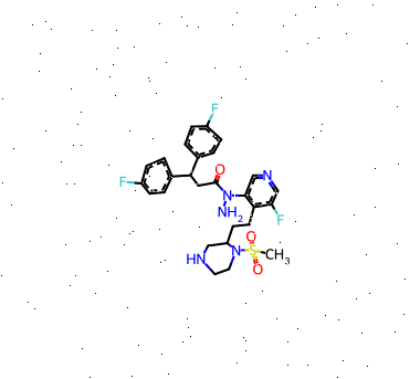 CS(=O)(=O)N1CCNCC1CCc1c(F)cncc1N(N)C(=O)CC(c1ccc(F)cc1)c1ccc(F)cc1